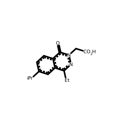 CCc1nn(CC(=O)O)c(=O)c2ccc(C(C)C)cc12